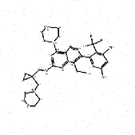 Nc1cc(Cl)c(C(F)(F)F)c(-c2ncc3c(N4CCNCC4)nc(OCC4(CN5CCOCC5)CC4)nc3c2CF)n1